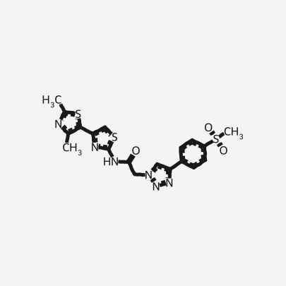 Cc1nc(C)c(-c2csc(NC(=O)Cn3cc(-c4ccc(S(C)(=O)=O)cc4)nn3)n2)s1